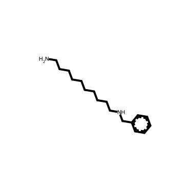 NCCCCCCCCCCNCc1ccccc1